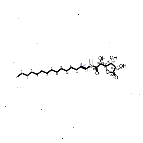 CCCCCCCCCCCCC/C=C/NC(=O)[C@H](O)[C@H]1OC(=O)[C@@H](O)[C@H]1O